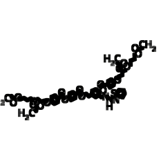 C=CC(=O)OCCCCOCC(CCOc1ccc(C(=O)Oc2ccc(CCOC(=O)c3ccc(OC(=O)c4ccc(OCC(COCCCCOC(=O)C=C)OC(=O)C=C)cc4)cc3)cc2/C=N/Nc2nc3ccccc3s2)cc1)OC(=O)C=C